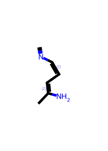 C=N/C=C\C=C(\C)N